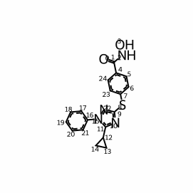 O=C(NO)c1ccc(Sc2nc(C3CC3)n(-c3ccccc3)n2)cc1